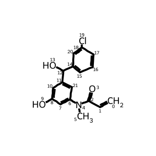 C=CC(=O)N(C)c1cc(O)cc(C(O)c2cccc(Cl)c2)c1